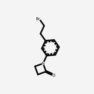 O=C1CCN1c1cccc(CCBr)c1